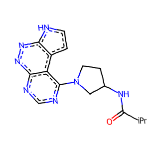 CC(C)C(=O)NC1CCN(c2ncnc3nnc4[nH]ccc4c23)C1